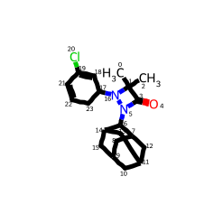 CC1(C)C(=O)N(C2C3CC4CC(C3)CC2C4)N1C1C=C(Cl)C=CC1